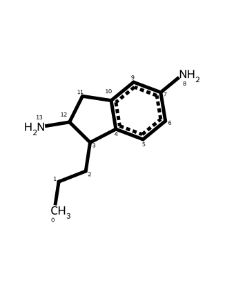 CCCC1c2ccc(N)cc2CC1N